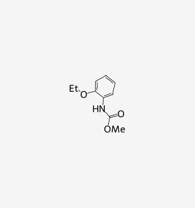 CCOc1ccccc1NC(=O)OC